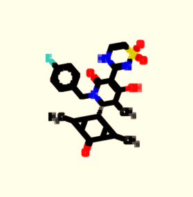 CC1C2C(=O)C3C(C)C3C([C@H]3C(C)C(O)=C(C4=NS(=O)(=O)C=CN4)C(=O)N3Cc3ccc(F)cc3)C12